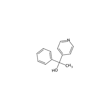 CC(O)(c1ccccc1)c1ccncc1